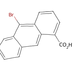 O=C(O)c1cccc2c(Br)c3ccccc3cc12